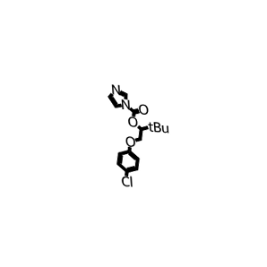 CC(C)(C)C(COc1ccc(Cl)cc1)OC(=O)n1ccnc1